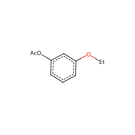 CCOc1c[c]cc(OC(C)=O)c1